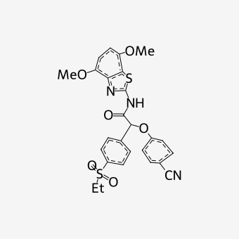 CCS(=O)(=O)c1ccc(C(Oc2ccc(C#N)cc2)C(=O)Nc2nc3c(OC)ccc(OC)c3s2)cc1